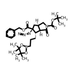 CC(C)(C)OC(=O)N1C[C@@H]2C[C@@](N=[N+]=[N-])(C(=O)OCc3ccccc3)[C@@H](CCCB3OC(C)(C)C(C)(C)O3)[C@@H]2C1=O